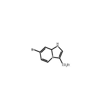 CCOC(=O)C1=CNC2C=C(Br)C=CN12